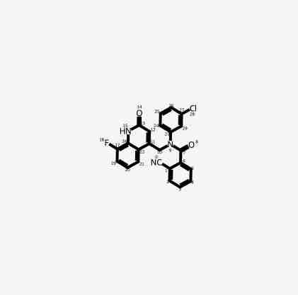 N#Cc1ccccc1C(=O)N(Cc1cc(=O)[nH]c2c(F)cccc12)c1cccc(Cl)c1